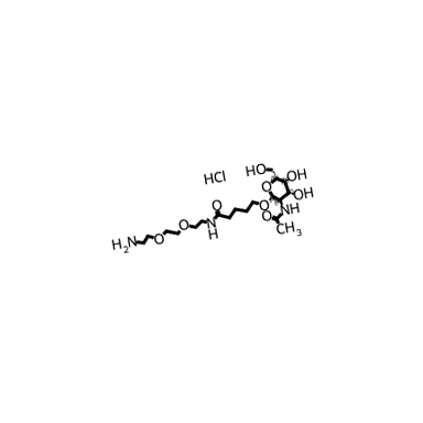 CC(=O)N[C@H]1[C@H](OCCCCC(=O)NCCOCCOCCN)O[C@H](CO)[C@H](O)[C@@H]1O.Cl